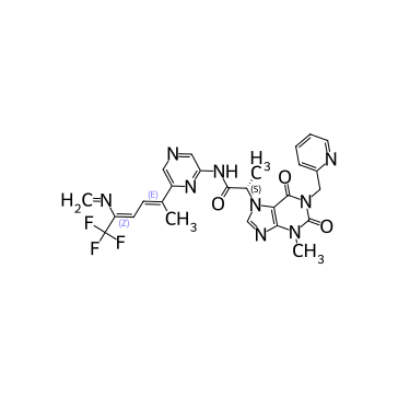 C=N/C(=C\C=C(/C)c1cncc(NC(=O)[C@H](C)n2cnc3c2c(=O)n(Cc2ccccn2)c(=O)n3C)n1)C(F)(F)F